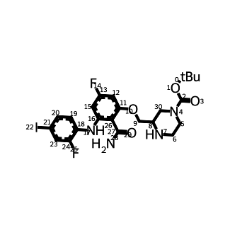 CC(C)(C)OC(=O)N1CCNC(COc2cc(F)cc(Nc3ccc(I)cc3F)c2C(N)=O)C1